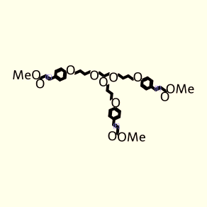 COC(=O)/C=C/c1ccc(OCCCCOCC(COCCCCOc2ccc(/C=C/C(=O)OC)cc2)OCCCCOc2ccc(/C=C/C(=O)OC)cc2)cc1